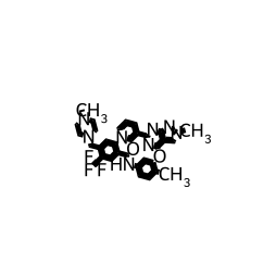 Cc1ccc(NC(=O)c2ccc(CN3CCN(C)CC3)c(C(F)(F)F)c2)cc1Oc1nc(-c2cccnc2)nc2nn(C)cc12